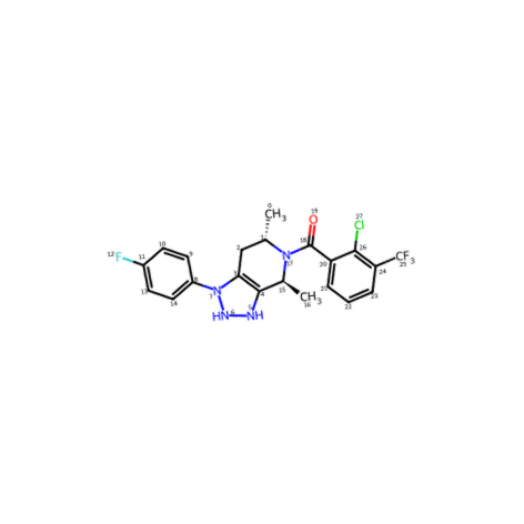 C[C@H]1CC2=C(NNN2c2ccc(F)cc2)[C@H](C)N1C(=O)c1cccc(C(F)(F)F)c1Cl